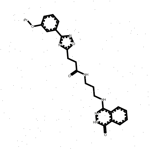 CC(C)Oc1cccc(-c2noc(CCC(=O)NCCCNc3n[nH]c(=O)c4ccccc34)n2)c1